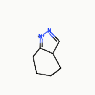 C1=N[N+]=C2CCCCC12